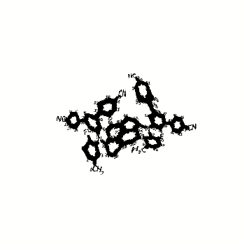 Cc1ccc(F)c(N(c2cc(-c3ccc(C#N)cc3)cc(-c3ccc(C#N)cc3)c2)c2ccc3ccc4c(N(c5cc(-c6ccc(C#N)cc6)cc(-c6ccc(C#N)cc6)c5)c5cc(C)ccc5F)ccc5ccc2c3c54)c1